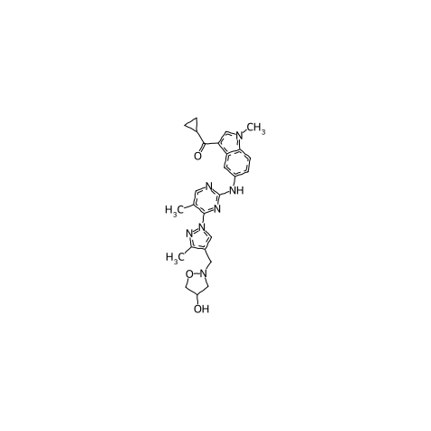 Cc1cnc(Nc2ccc3c(c2)c(C(=O)C2CC2)cn3C)nc1-n1cc(CN2CC(O)CO2)c(C)n1